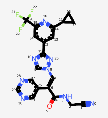 N#CCNC(=O)/C(=C/n1cnc(-c2cc(C3CC3)nc(C(F)(F)F)c2)n1)c1cncnc1